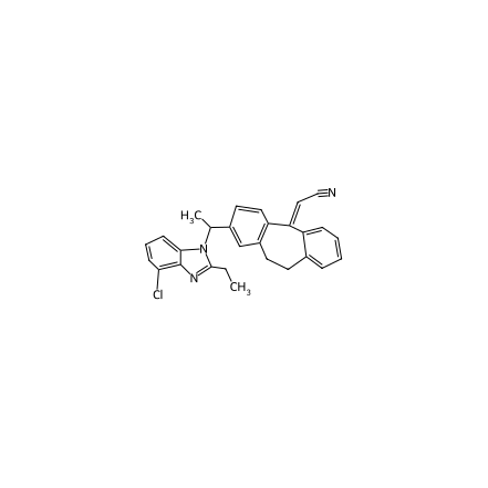 CCc1nc2c(Cl)cccc2n1C(C)c1ccc2c(c1)CCc1ccccc1C2=CC#N